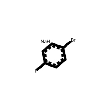 Brc1ccc(I)cc1.[NaH]